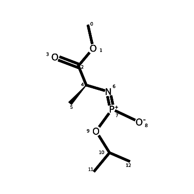 COC(=O)[C@H](C)N=[P+]([O-])OC(C)C